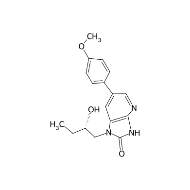 CC[C@H](O)Cn1c(=O)[nH]c2ncc(-c3ccc(OC)cc3)cc21